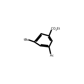 CCOC(=O)c1cc(C(C)=O)cc(C(C)(C)C)c1